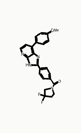 COc1ccc(-c2ccnc3[nH]c(-c4ccc(C(=O)N5CCC(F)(F)C5)cc4)nc23)cc1